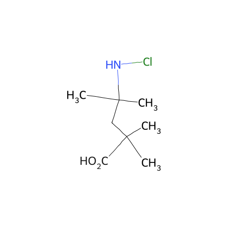 CC(C)(CC(C)(C)C(=O)O)NCl